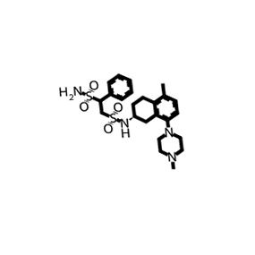 Cc1ccc(N2CCN(C)CC2)c2c1CC[C@@H](NS(=O)(=O)CC(c1ccccc1)S(N)(=O)=O)C2